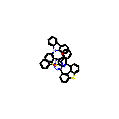 c1ccc(-c2nc(-c3ccccc3)nc(-c3cccc4sc5cccc(-c6ccc7c(c6)sc6cccc(-n8c9ccccc9c9ccccc98)c67)c5c34)n2)cc1